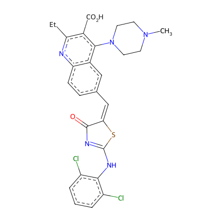 CCc1nc2ccc(C=C3SC(Nc4c(Cl)cccc4Cl)=NC3=O)cc2c(N2CCN(C)CC2)c1C(=O)O